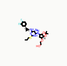 CCCSC1N=C(N[C@@H]2C[C@H]2c2ccc(F)c(F)c2)C2N=NN(C3=C4OC(C)(C)O[C@@H]4C(OCCO)=C3)C2N1